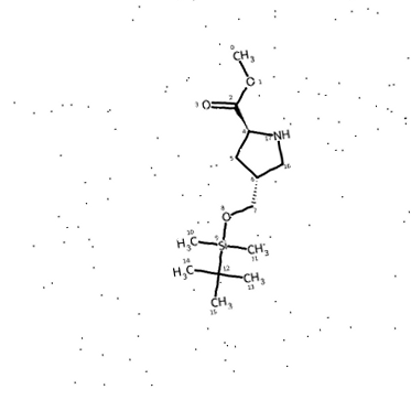 COC(=O)[C@@H]1C[C@@H](CO[Si](C)(C)C(C)(C)C)CN1